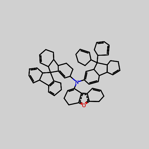 C1=CCC(C2(C3C=CCCC3)C3C=C(N(C4=CCCc5oc6c(c54)C=CCC6)C4C=C5C(CC4)C4CCC=CC4C54C5=C(C=CCC5)C5C=CC=CC54)C=CC3C3C=CCCC32)C=C1